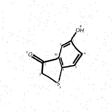 O=C1CSc2ccc(O)cc21